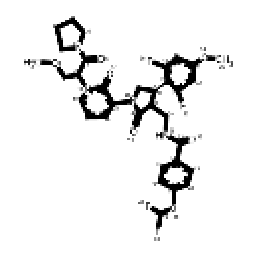 COCC(C(=O)N1CCCC1)n1cccc(N2C[C@@H](c3c(F)cc(OC)cc3F)C(CNC(=O)c3ccc(OC(F)F)cc3)C2=O)c1=O